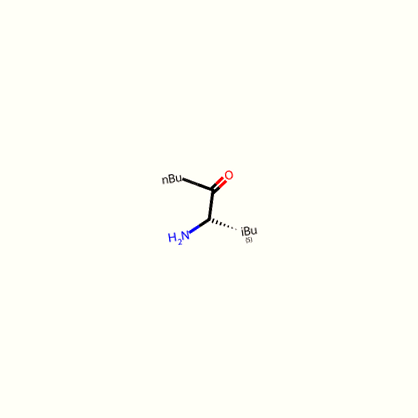 CCCCC(=O)C(N)[C@@H](C)CC